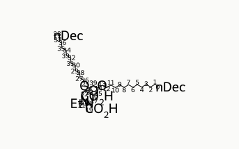 CCCCCCCCCCCCCCCCCCCCCCOc1cc(CN(C(=O)O)N(CC)C(=O)O)cc(OCCCCCCCCCCCCCCCCCCCCCC)c1